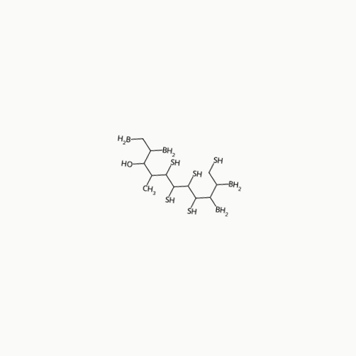 BCC(B)C(O)C(C)C(S)C(S)C(S)C(S)C(B)C(B)CS